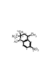 CC(=O)N1c2ccc([N+](=O)[O-])cc2C(C)CC1(C)C